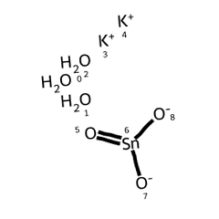 O.O.O.[K+].[K+].[O]=[Sn]([O-])[O-]